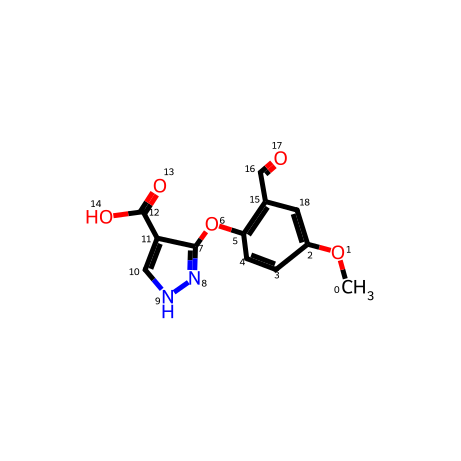 COc1ccc(Oc2n[nH]cc2C(=O)O)c(C=O)c1